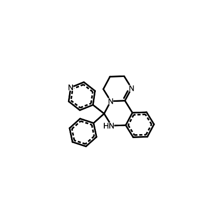 c1ccc(C2(c3ccncc3)Nc3ccccc3C3=NCCCN32)cc1